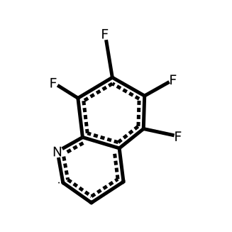 Fc1c(F)c(F)c2n[c]ccc2c1F